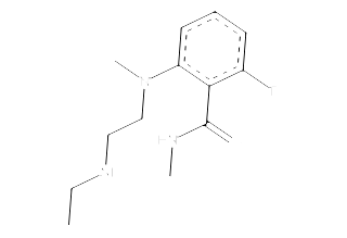 CCNCCN(C)c1cccc(F)c1C(=O)NC